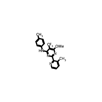 COc1nc(-c2ncccc2C)nc(Nc2ccc(C)cc2)c1C(F)(F)F